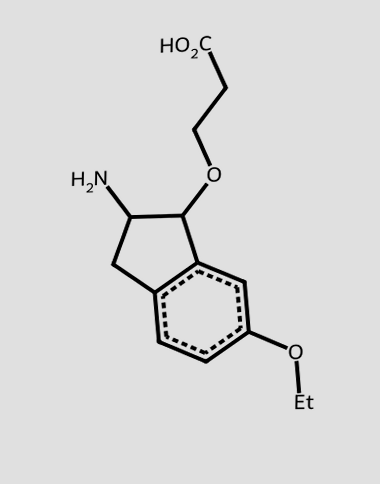 CCOc1ccc2c(c1)C(OCCC(=O)O)C(N)C2